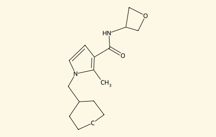 Cc1c(C(=O)NC2COC2)ccn1CC1CCCCC1